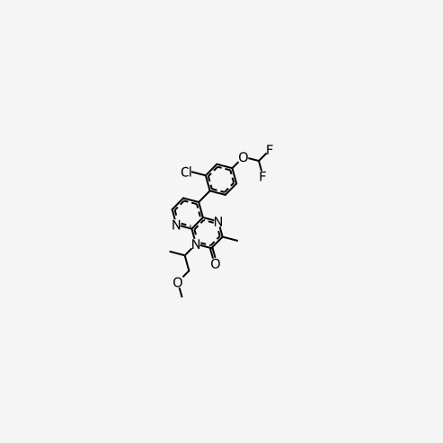 COCC(C)n1c(=O)c(C)nc2c(-c3ccc(OC(F)F)cc3Cl)ccnc21